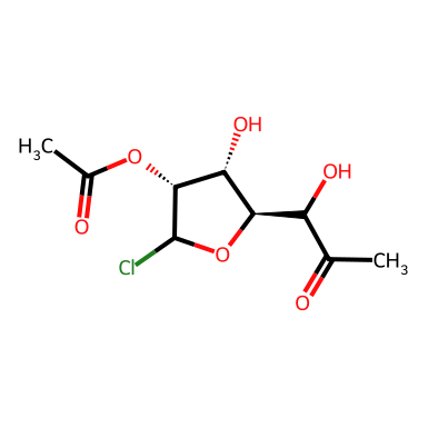 CC(=O)O[C@H]1C(Cl)O[C@H](C(O)C(C)=O)[C@H]1O